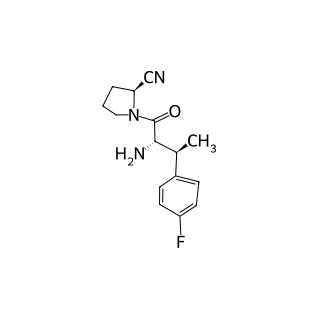 C[C@@H](c1ccc(F)cc1)[C@H](N)C(=O)N1CCC[C@H]1C#N